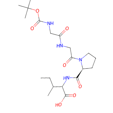 CCC(C)C(NC(=O)[C@@H]1CCCN1C(=O)CNC(=O)CNC(=O)OC(C)(C)C)C(=O)O